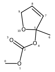 COC(=O)OC1(C)C=CCO1